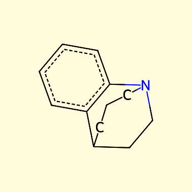 c1ccc2c(c1)C1CCCN2CC1